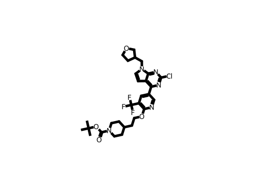 CC(C)(C)OC(=O)N1CCC(CCOc2ncc(-c3nc(Cl)nc4c3ccn4CC3CCOC3)cc2C(F)(F)F)CC1